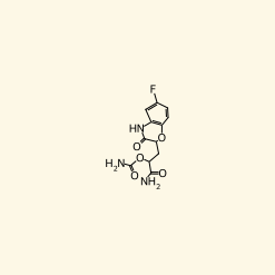 NC(=O)OC(CC1Oc2ccc(F)cc2NC1=O)C(N)=O